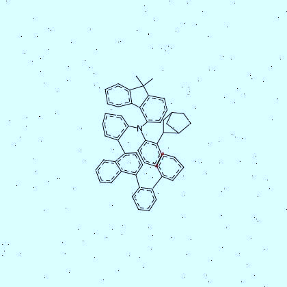 CC1(C)c2ccccc2-c2c(N(c3ccccc3-c3ccc(-c4ccccc4-c4ccccc4)c4ccccc34)c3ccccc3C3CC4CCC3C4)cccc21